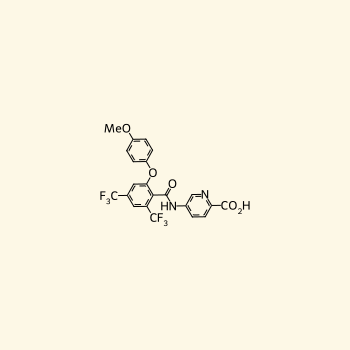 COc1ccc(Oc2cc(C(F)(F)F)cc(C(F)(F)F)c2C(=O)Nc2ccc(C(=O)O)nc2)cc1